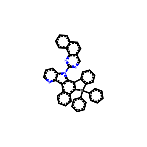 c1ccc([Si]2(c3ccccc3)c3ccccc3-c3c2c2ccccc2c2c4ncccc4n(-c4ncc5ccc6ccccc6c5n4)c32)cc1